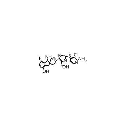 Nc1nccc(Sc2cnc(N3CCC4(CC3)Cc3c(O)ccc(F)c3[C@H]4N)c(CO)n2)c1Cl